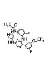 C=CC(=O)Nc1ccc(F)c(Nc2nc(Nc3cnn(C)c3)ncc2-c2cc(F)cc(OCC(F)(F)F)c2)c1